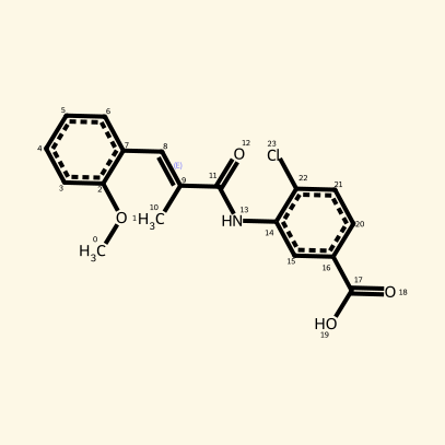 COc1ccccc1/C=C(\C)C(=O)Nc1cc(C(=O)O)ccc1Cl